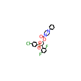 O=C(OCCC(c1cc(F)ccc1F)S(=O)(=O)c1ccc(Cl)cc1)N1CCN(c2ccccc2)CC1